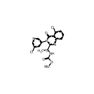 C[C@H](NC(=O)OC(C)(C)C)c1nc2cccc(Cl)c2c(=O)n1-c1cncc(Cl)c1